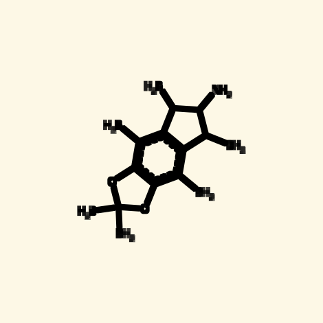 Bc1c2c(c(B)c3c1C(B)C(N)C3B)OC(B)(B)O2